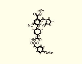 COc1ccc(CS(=O)(=O)NC(=O)C2CCN(c3nc(CN4CCCC4=O)c(C(=O)OC(C)C)cc3C#N)CC2)cc1